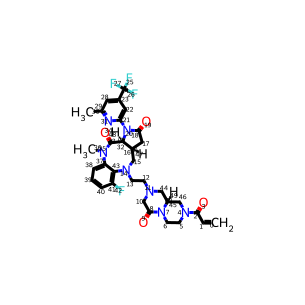 C=CC(=O)N1CCN2C(=O)CN(CCN3C[C@H]4CC(=O)N(c5cc(C(F)(F)F)cc(C)n5)[C@@H]4C(=O)N(C)c4cccc(F)c43)C[C@@H]2C1